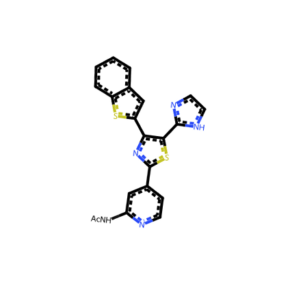 CC(=O)Nc1cc(-c2nc(-c3cc4ccccc4s3)c(-c3ncc[nH]3)s2)ccn1